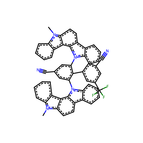 Cn1c2ccccc2c2c1ccc1c3ccccc3n(-c3cc(C#N)cc(-n4c5ccccc5c5ccc6c(c7ccccc7n6C)c54)c3-c3cc(C#N)cc(C(F)(F)F)c3)c12